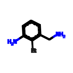 CCc1c(N)cccc1CN